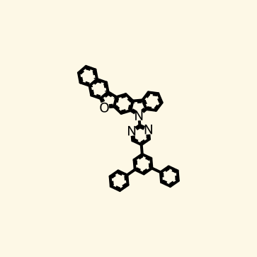 c1ccc(-c2cc(-c3ccccc3)cc(-c3cnc(-n4c5ccccc5c5cc6c(cc54)oc4cc5ccccc5cc46)nc3)c2)cc1